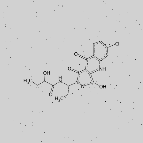 CCC(O)C(=O)NC(CC)n1nc(O)c2[nH]c3cc(Cl)ccc3c(=O)c2c1=O